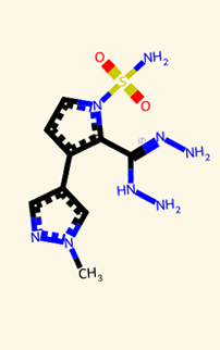 Cn1cc(-c2ccn(S(N)(=O)=O)c2/C(=N/N)NN)cn1